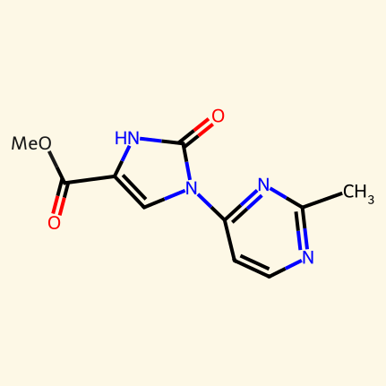 COC(=O)c1cn(-c2ccnc(C)n2)c(=O)[nH]1